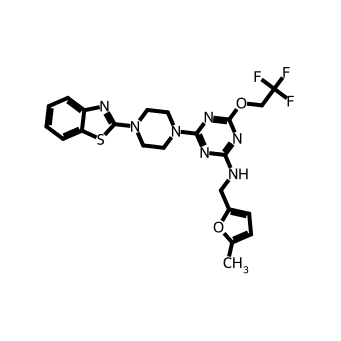 Cc1ccc(CNc2nc(OCC(F)(F)F)nc(N3CCN(c4nc5ccccc5s4)CC3)n2)o1